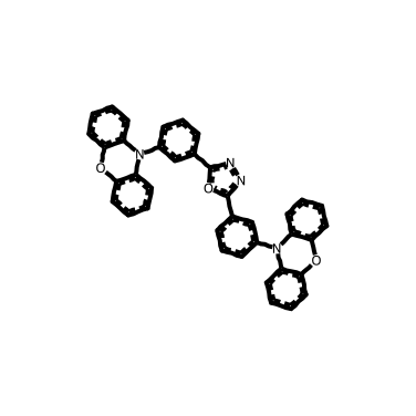 c1cc(-c2nnc(-c3cccc(N4c5ccccc5Oc5ccccc54)c3)o2)cc(N2c3ccccc3Oc3ccccc32)c1